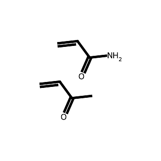 C=CC(C)=O.C=CC(N)=O